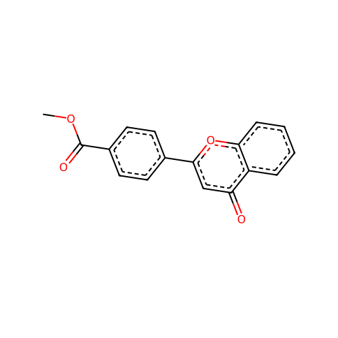 COC(=O)c1ccc(-c2cc(=O)c3ccccc3o2)cc1